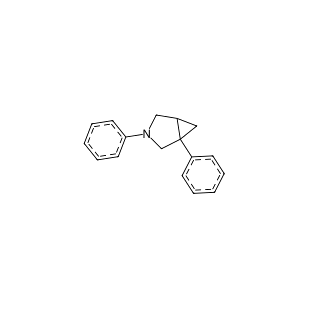 c1ccc(N2CC3CC3(c3ccccc3)C2)cc1